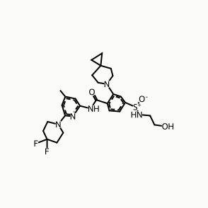 Cc1cc(NC(=O)c2ccc([S+]([O-])NCCO)cc2N2CCC3(CC2)CC3)nc(N2CCC(F)(F)CC2)c1